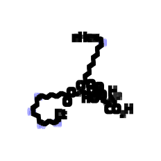 CC/C=C\C/C=C\C/C=C\C/C=C\CCCCC(=O)OC[C@H](COP(=O)(O)OC[C@H](N)C(=O)O)OC(=O)CCCCCCC/C=C\CCCCCC